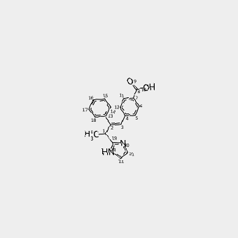 CC(C(=Cc1ccc(C(=O)O)cc1)c1ccccc1)c1ncc[nH]1